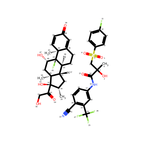 CC(O)(CS(=O)(=O)c1ccc(F)cc1)C(=O)Nc1ccc(C#N)c(C(F)(F)F)c1.C[C@H]1C[C@H]2[C@@H]3CCC4=CC(=O)C=C[C@]4(C)[C@@]3(F)[C@@H](O)C[C@]2(C)[C@@]1(O)C(=O)CO